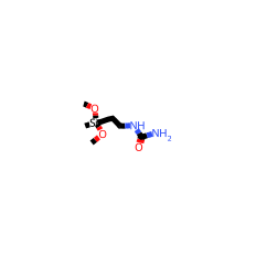 CO[Si](C)(CCNC(N)=O)OC